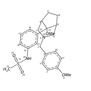 COc1ccc(CN2CC3CCC(C2)C3(OC)c2cccc(NS(C)(=O)=O)c2)cc1